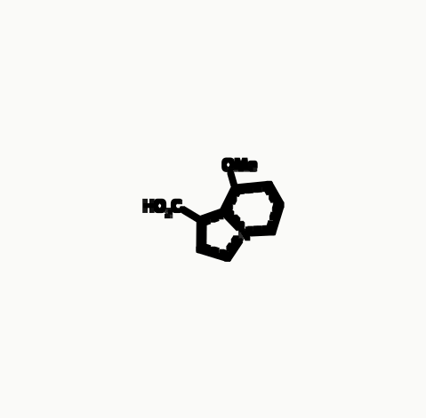 COc1cccn2ccc(C(=O)O)c12